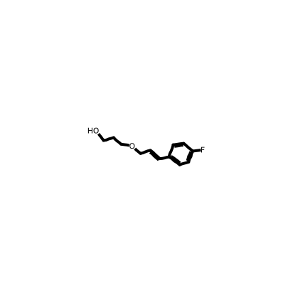 OCCCOCC=Cc1ccc(F)cc1